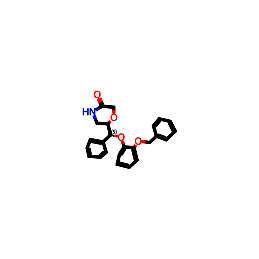 O=C1COC([C@@H](Oc2ccccc2OCc2ccccc2)c2ccccc2)CN1